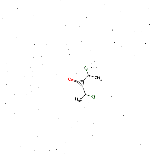 CC(Cl)c1c(C(C)Cl)c1=O